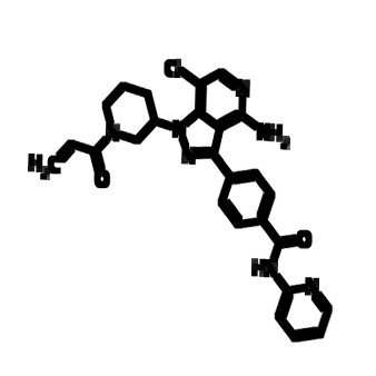 C=CC(=O)N1CCCC(n2nc(-c3ccc(C(=O)Nc4ccccn4)cc3)c3c(N)ncc(Cl)c32)C1